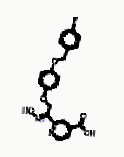 O=C(O)c1ccnc(/C(COc2ccc(OCc3ccc(F)cc3)cc2)=N/O)c1